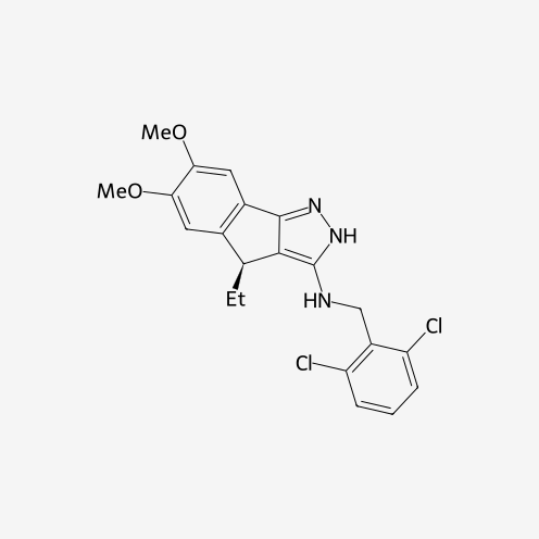 CC[C@H]1c2cc(OC)c(OC)cc2-c2n[nH]c(NCc3c(Cl)cccc3Cl)c21